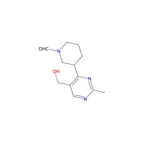 Cc1ncc(CO)c(C2CCCN(C=O)C2)n1